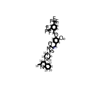 COc1cc(/C=C2/SC(N3CCN(c4cc(C)nc5ccccc45)CC3)=NC2=O)ccc1OCc1ccc(C(F)(F)F)cc1C(F)(F)F